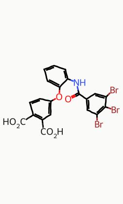 O=C(Nc1ccccc1Oc1ccc(C(=O)O)c(C(=O)O)c1)c1cc(Br)c(Br)c(Br)c1